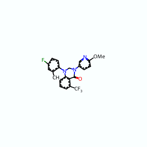 COc1ccc(N2CN(c3ccc(F)cc3C)c3cccc(C(F)(F)F)c3C2=O)cn1